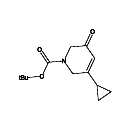 CC(C)(C)OC(=O)N1CC(=O)C=C(C2CC2)C1